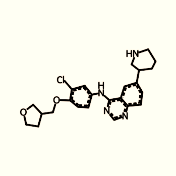 Clc1cc(Nc2ncnc3ccc(C4CCCNC4)cc23)ccc1OCC1CCOC1